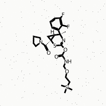 C[C@]1(c2cccc(F)c2F)N=C(OC(=O)NCOCC[Si](C)(C)C)S[C@@]2(C(=O)N3CCCC3)C[C@H]21